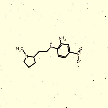 CN1CCCC1CCNc1ccc([N+](=O)[O-])cc1N